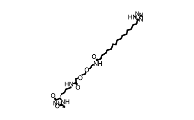 CC(=O)N[C@@H](CCCCNC(=O)COCCOCCNC(=O)CCCCCCCCCCCCCCCc1nnn[nH]1)C(N)=O